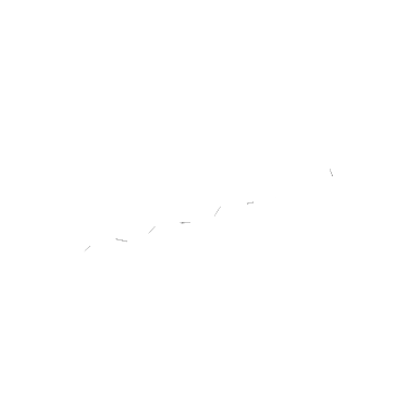 CCC=CCC=CCC=CCC=CCC=CCC=CCCCCCCC(=O)O